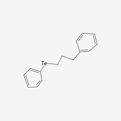 c1ccc(CCC[Te]c2ccccc2)cc1